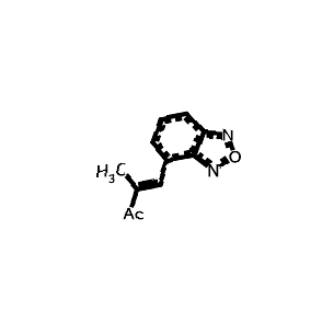 CC(=O)C(C)=Cc1cccc2nonc12